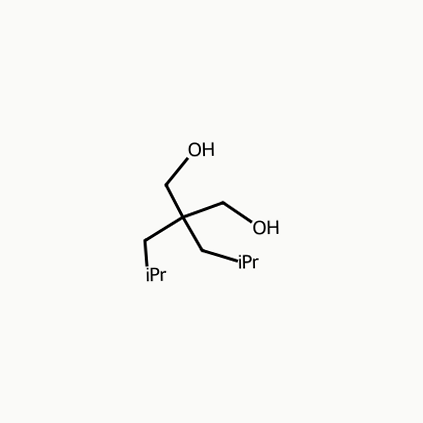 CC(C)CC(CO)(CO)CC(C)C